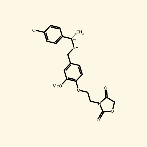 COc1cc(CN[C@@H](C)c2ccc(Cl)cc2)ccc1OCCN1C(=O)COC1=O